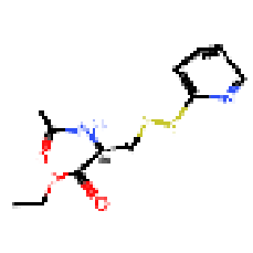 CCOC(=O)[C@H](CSSc1ccccn1)NC(C)=O